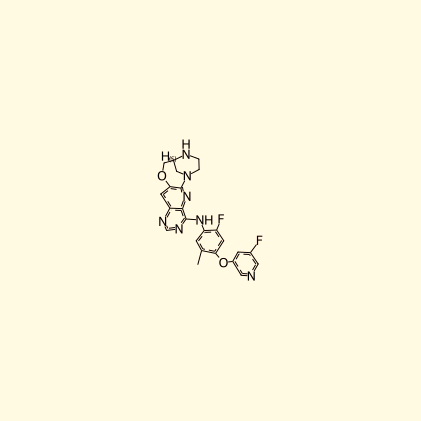 Cc1cc(Nc2ncnc3cc4c(nc23)N2CCN[C@H](CO4)C2)c(F)cc1Oc1cncc(F)c1